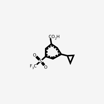 O=C(O)c1cc(C2CC2)cc(S(=O)(=O)C(F)(F)F)c1